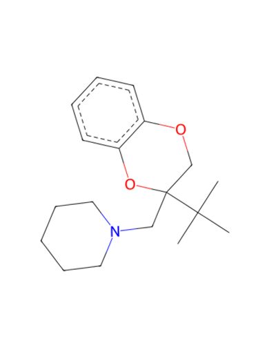 CC(C)(C)C1(CN2CCCCC2)COc2ccccc2O1